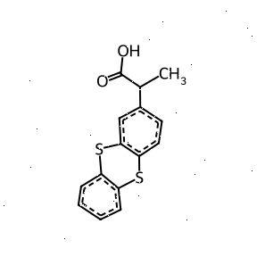 CC(C(=O)O)c1ccc2c(c1)Sc1ccccc1S2